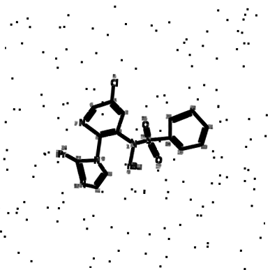 CCCCN(c1cc(Cl)cnc1-n1ccnc1C(C)C)S(=O)(=O)c1ccccc1